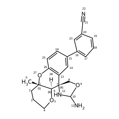 C[C@]12CCCO[C@@H]1[C@]1(COC(N)N1)c1cc(-c3cccc(C#N)c3)ccc1O2